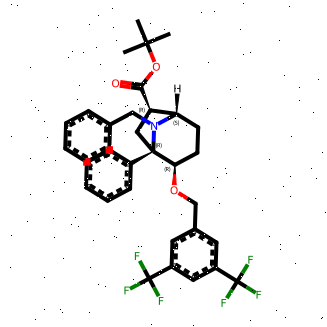 CC(C)(C)OC(=O)[C@@H]1C[C@@]2(c3ccccc3)[C@H](OCc3cc(C(F)(F)F)cc(C(F)(F)F)c3)CC[C@@H]1N2Cc1ccccc1